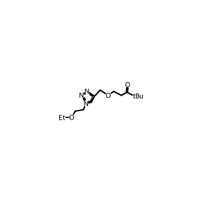 CCOCCn1cc(COCCC(=O)C(C)(C)C)nn1